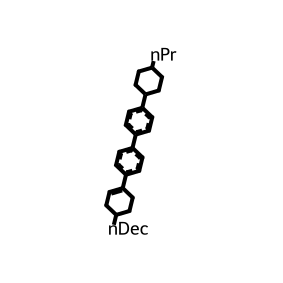 CCCCCCCCCCC1CC=C(c2ccc(-c3ccc(C4CCC(CCC)CC4)cc3)cc2)CC1